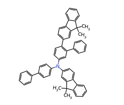 CC1(C)c2ccccc2-c2ccc(-c3ccc(N(c4ccc(-c5ccccc5)cc4)c4ccc5c(c4)C(C)(C)c4ccccc4-5)cc3-c3ccccc3)cc21